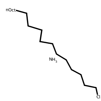 CCCCCCCCCCCCCCCCCCCCl.N